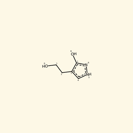 OCCc1c[nH]nc1O